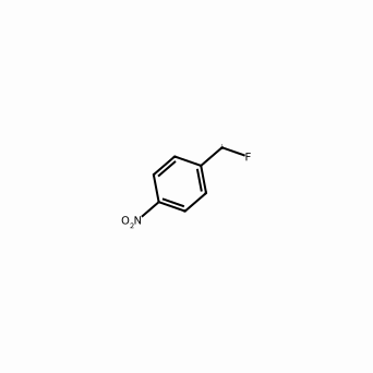 O=[N+]([O-])c1ccc([CH]F)cc1